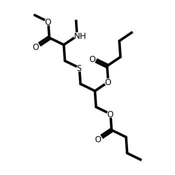 CCCC(=O)OCC(CSCC(NC)C(=O)OC)OC(=O)CCC